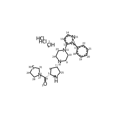 Cl.Cl.Cl.O=C([C@@H]1C[C@H](N2CCN(c3ccnn3-c3ccccc3)CC2)CN1)N1CCSC1